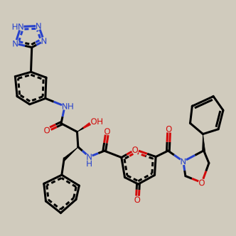 O=C(N[C@@H](Cc1ccccc1)[C@H](O)C(=O)Nc1cccc(-c2nn[nH]n2)c1)c1cc(=O)cc(C(=O)N2COCC2[C@@H]2C=CC=CC2)o1